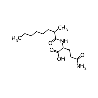 CCCCCCC(C)C(=O)N[C@@H](CCC(N)=O)C(=O)O